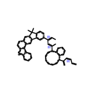 C=C/C=C\C(=C)c1ccccccc(/C(C)=C/C(=C\C)c2ccc3c(c2)-c2cc4c(ccc5sc6ccccc6c54)cc2C3(C)C)c2ccccc12